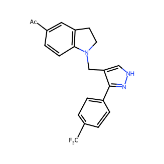 CC(=O)c1ccc2c(c1)CCN2Cc1c[nH]nc1-c1ccc(C(F)(F)F)cc1